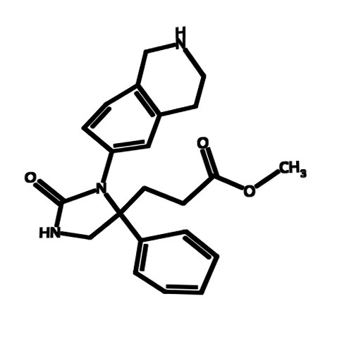 COC(=O)CCC1(c2ccccc2)CNC(=O)N1c1ccc2c(c1)CCNC2